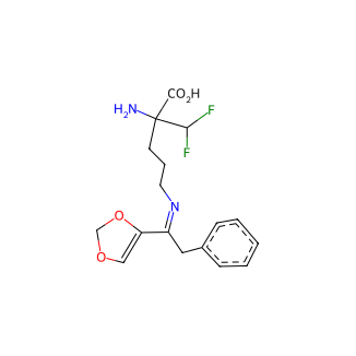 NC(CCCN=C(Cc1ccccc1)C1=COCO1)(C(=O)O)C(F)F